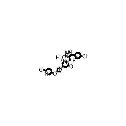 Cn1nnc(-c2ccc(Cl)cc2F)c1Cn1ncc(N2CC(Oc3ccc(Cl)nc3)C2)cc1=O